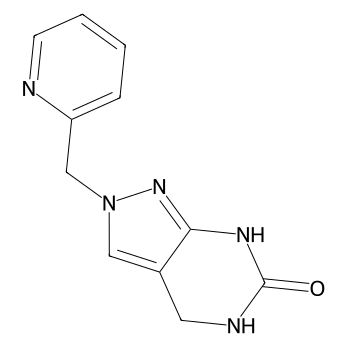 O=C1NCc2cn(Cc3ccccn3)nc2N1